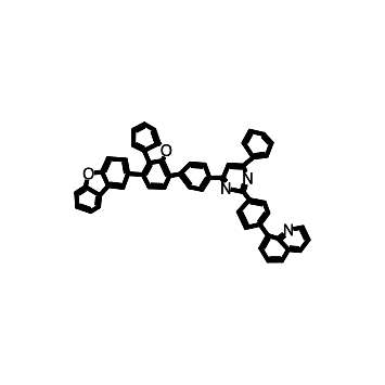 c1ccc(-c2cc(-c3ccc(-c4ccc(-c5ccc6oc7ccccc7c6c5)c5c4oc4ccccc45)cc3)nc(-c3ccc(-c4cccc5cccnc45)cc3)n2)cc1